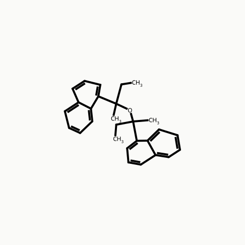 CCC(C)(OC(C)(CC)c1cccc2ccccc12)c1cccc2ccccc12